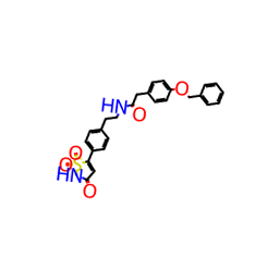 O=C1C=C(c2ccc(CCNC(=O)Cc3ccc(OCc4ccccc4)cc3)cc2)S(=O)(=O)N1